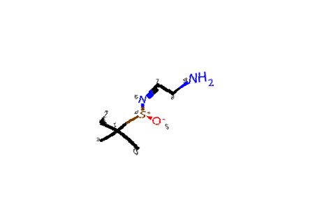 CC(C)(C)[S@+]([O-])/N=C\CN